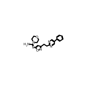 NC(=Nc1cc(CCc2ncc(-c3ccccc3)cn2)no1)N1CCOCC1